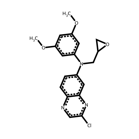 COc1cc(OC)cc(N(CC2CO2)c2ccc3ncc(Cl)nc3c2)c1